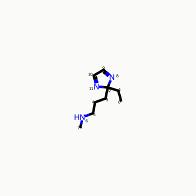 CCC1(CCCNC)N=CC=N1